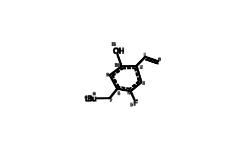 C=Cc1cc(F)c(CC(C)(C)C)cc1O